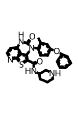 Cc1cc(Oc2ccccc2)ccc1N1C(=O)Nc2ccnc3sc(C(=O)NC4CCCNC4)c1c23